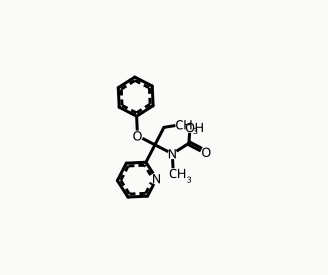 CCC(Oc1ccccc1)(c1ccccn1)N(C)C(=O)O